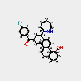 O=C(c1ccc(F)cc1)C1C=c2c(ccc3c2=CCc2cccc(O)c2-3)C(C2=CC=CC=CN2)C1